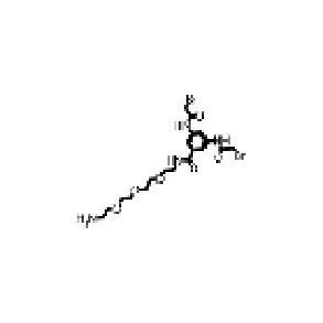 NCCOCCOCCOCCNC(=O)c1cc(NC(=O)CBr)cc(NC(=O)CBr)c1